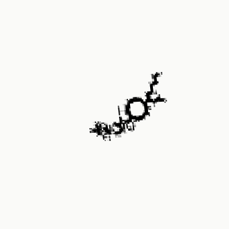 CCCCCCC(CCC)C1CCCCCC(C(=O)N[C@@H]2CCN(C(=O)OC(C)(C)C)C2)CCCC1